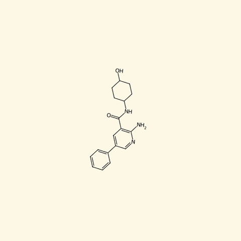 Nc1ncc(-c2ccccc2)cc1C(=O)NC1CCC(O)CC1